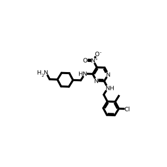 Cc1c(Cl)cccc1CNc1ncc([N+](=O)[O-])c(NCC2CCC(CN)CC2)n1